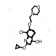 Oc1cc(OC2CC2)nc2c(Cl)c(OCCN3CCOCC3)ccc12